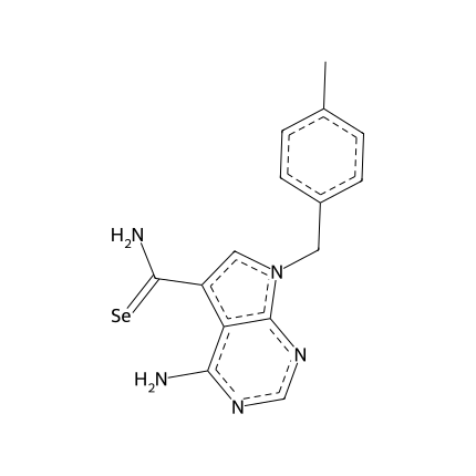 Cc1ccc(Cn2cc(C(N)=[Se])c3c(N)ncnc32)cc1